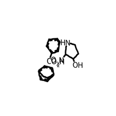 O=C(O)c1ccccc1.O=[N+]([O-])C1CNCCC1O.c1cc2ccc1CC2